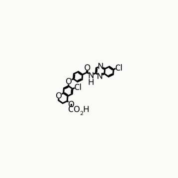 O=C(O)OC1CCOc2cc(Oc3ccc(C(=O)Nc4cnc5cc(Cl)ccc5n4)cc3)c(Cl)cc21